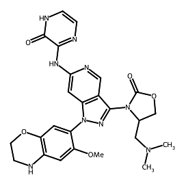 COc1cc2c(cc1-n1nc(N3C(=O)OCC3CN(C)C)c3cnc(Nc4ncc[nH]c4=O)cc31)OCCN2